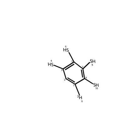 [2H]c1cc(S)c(S)c(S)c1S